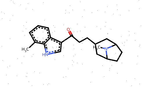 Cc1cccc2c(C(=O)CCC3CC4CCC(C3)N4C)c[nH]c12